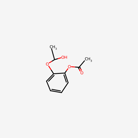 CC(=O)Oc1ccccc1OC(C)O